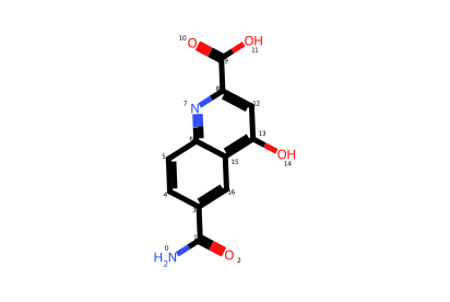 NC(=O)c1ccc2nc(C(=O)O)cc(O)c2c1